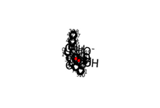 CCC(=CC1Oc2cc3ccccc3cc2[N+]1(CCCS(=O)(=O)O)CCCS(=O)(=O)O)C=C1Nc2cc3ccccc3cc2O1.[OH-]